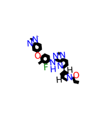 C=CC(=O)N1C[C@H]2C[C@@H]1[C@H](c1ccc3ncnc(Nc4ccc(Oc5ccc6c(c5)ncn6C)c(C)c4F)c3n1)C2